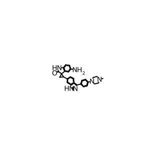 CN1CCN(c2ccc(-c3n[nH]c4cc(C5CC56C(=O)Nc5ccc(N)cc56)ccc34)cc2)CC1